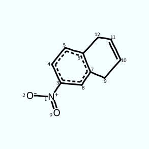 O=[N+]([O-])c1ccc2c(c1)CC=CC2